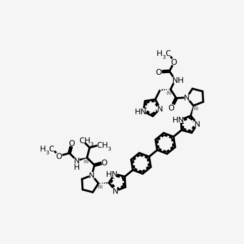 COC(=O)N[C@@H](Cc1c[nH]cn1)C(=O)N1CCC[C@H]1c1ncc(-c2ccc(-c3ccc(-c4cnc([C@@H]5CCCN5C(=O)[C@@H](NC(=O)OC)C(C)C)[nH]4)cc3)cc2)[nH]1